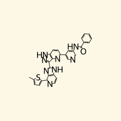 Cc1ccc(-c2nccc3[nH]c(-c4n[nH]c5ccc(-c6cncc(NC(=O)c7ccccc7)c6)nc45)nc23)s1